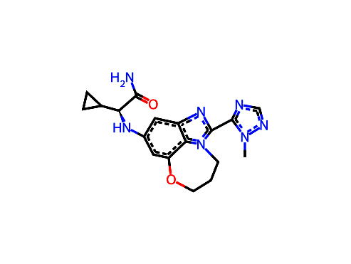 Cn1ncnc1-c1nc2cc(N[C@H](C(N)=O)C3CC3)cc3c2n1CCCO3